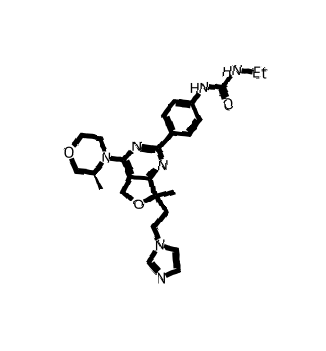 CCNC(=O)Nc1ccc(-c2nc(N3CCOC[C@@H]3C)c3c(n2)C(C)(CCn2ccnc2)OC3)cc1